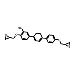 CCCCc1cc(C2=CC=C(c3ccc(OCC4CO4)cc3)CC2)ccc1OCC1CO1